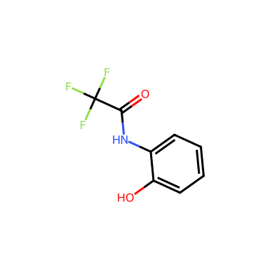 O=C(Nc1ccccc1O)C(F)(F)F